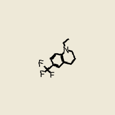 CCN1CCCc2cc(C(F)(F)F)ccc21